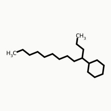 CCCCCCCCCC(CCC)C1CCCCC1